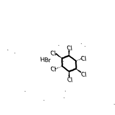 Br.Cl[C@H]1[C@H](Cl)[C@@H](Cl)[C@@H](Cl)[C@H](Cl)[C@H]1Cl